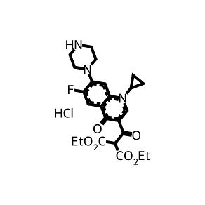 CCOC(=O)C(C(=O)OCC)C(=O)c1cn(C2CC2)c2cc(N3CCNCC3)c(F)cc2c1=O.Cl